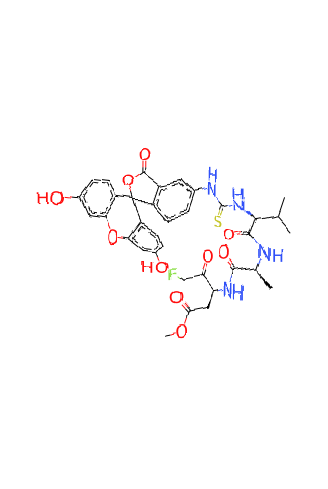 COC(=O)C[C@H](NC(=O)[C@H](C)NC(=O)[C@@H](NC(=S)Nc1ccc2c(c1)C(=O)OC21c2ccc(O)cc2Oc2cc(O)ccc21)C(C)C)C(=O)CF